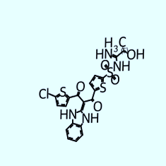 C[C@H](O)C(=N)NS(=O)(=O)c1ccc(C(=O)C(C(=O)c2ccc(Cl)s2)=C2Nc3ccccc3N2)s1